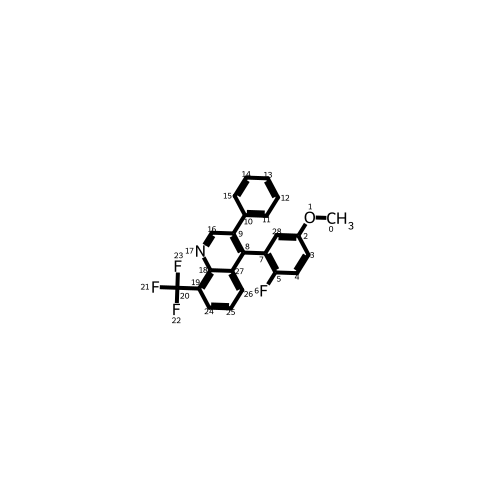 COc1ccc(F)c(-c2c(-c3ccccc3)cnc3c(C(F)(F)F)cccc23)c1